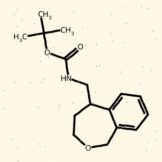 CC(C)(C)OC(=O)NCC1CCOCc2ccccc21